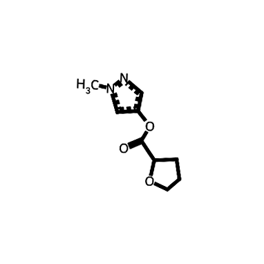 Cn1cc(OC(=O)C2CCCO2)cn1